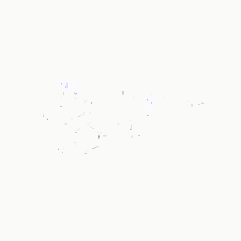 CCCCCCCCCCCCN(C)CCCCCCCCCCCC.N.O=C(O)c1ccc([N+](=O)[O-])cc1.O=C(O)c1ccc([N+](=O)[O-])cc1